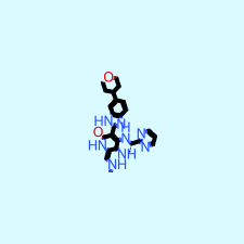 CN/C=C1/NC(=O)C(c2nc3ccc(C4CCOCC4)cc3[nH]2)=C(N[C@@H](C)c2ncccn2)C1=N